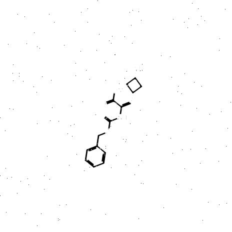 COC(=O)C(=C[C@H]1C[C@@H](C)C1)NC(=O)OCc1ccccc1